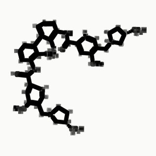 COc1cc(C(=O)Nc2cccc(-c3cccc(NC(=O)c4cc(OC)c(CN5CC[C@H](C(=O)O)C5)cn4)c3C)c2C)ncc1CN1CC[C@H](C(=O)O)C1